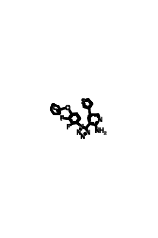 Nc1ncc(-c2ccsc2)cc1-c1nnnn1-c1ccc(OC2CC3CCC2CC3)c(F)c1F